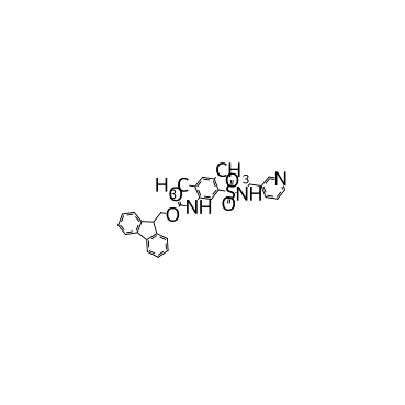 Cc1cc(C)c(S(=O)(=O)NCc2cccnc2)cc1NC(=O)OCC1c2ccccc2-c2ccccc21